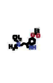 C=CCN(C)CCc1c[nH]c2ccc(OC(=O)CC)cc12